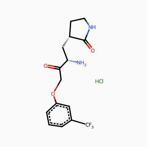 Cl.N[C@@H](C[C@@H]1CCNC1=O)C(=O)COc1cccc(C(F)(F)F)c1